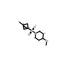 COC1CCN(S(=O)(=O)C23CC(C)(C2)C3)CC1